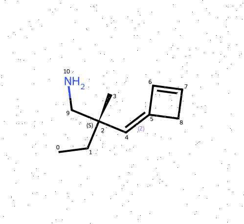 CC[C@@](C)(/C=C1\C=CC1)CN